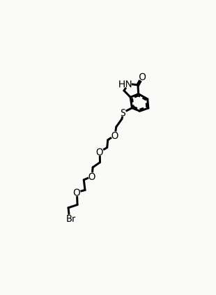 O=C1NCc2c(SCCOCCOCCOCCOCCBr)cccc21